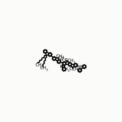 CCCCCCCCC1(CCCCCCCC)c2ccccc2-c2ccc(-c3ccc4c(c3)C(C)(C)c3cc(-c5cc6c(c7c5oc5ccccc57)-c5cc7c(cc5C6(C)C)-c5ccc(Nc6ccccc6-c6ccccc6)cc5C7(C)C)ccc3-4)cc21